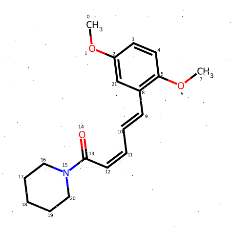 COc1ccc(OC)c(/C=C/C=C\C(=O)N2CCCCC2)c1